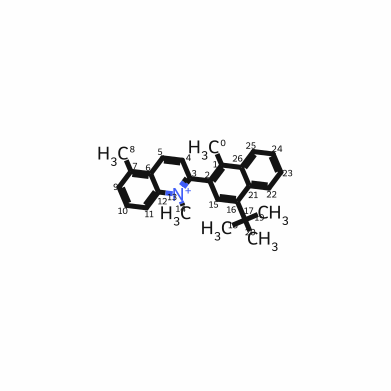 Cc1c(-c2ccc3c(C)cccc3[n+]2C)cc(C(C)(C)C)c2ccccc12